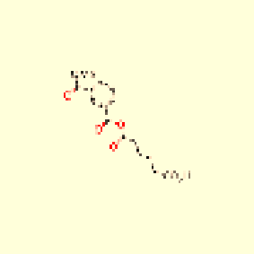 COC(=O)c1cccc(C(=O)OC(=O)CCCCC(=O)O)c1